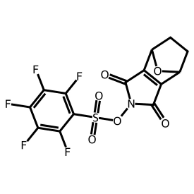 O=C1C2=C(C(=O)N1OS(=O)(=O)c1c(F)c(F)c(F)c(F)c1F)C1CCC2O1